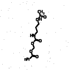 CCCC(=O)OCOC(=O)NCCCO[PH](C)=O